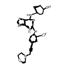 OC1CCC(Nc2nc(Nc3ccc(C#CCN4CCOCC4)cc3Cl)[nH]c3ncnc2-3)CC1